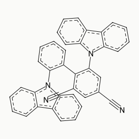 N#Cc1cc(C#N)c(-c2ccccc2-n2c3ccccc3c3ccccc32)c(-n2c3ccccc3c3ccccc32)c1